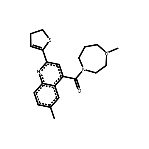 Cc1ccc2nc(C3=CCCS3)cc(C(=O)N3CCCN(C)CC3)c2c1